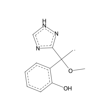 [CH2]C(OC)(c1nc[nH]n1)c1ccccc1O